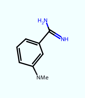 CNc1cccc(C(=N)N)c1